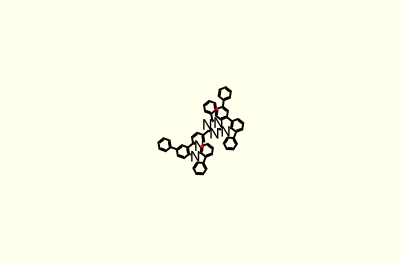 c1ccc(-c2cccc(-c3cccc4c5ccccc5n(-c5nc(-c6ccccc6)nc(-c6ccc(-c7cc(-c8ccccc8)ccc7-n7c8ccccc8c8ccccc87)nc6)n5)c34)c2)cc1